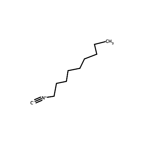 [C-]#[N+]CCCCCCCCC